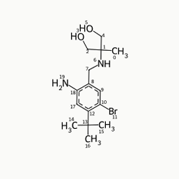 CC(CO)(CO)NCc1cc(Br)c(C(C)(C)C)cc1N